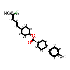 CCc1ccc([C@H]2CC[C@H](C(=O)OC3CCC(/C=C/C=C(F)C#N)CC3)CC2)cc1